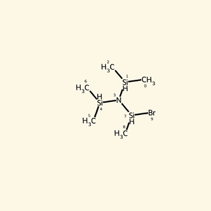 C[SiH](C)N([SiH](C)C)[SiH](C)Br